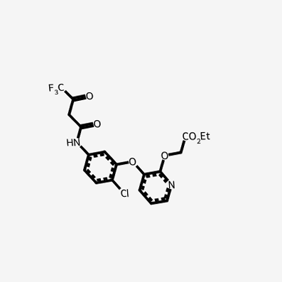 CCOC(=O)COc1ncccc1Oc1cc(NC(=O)CC(=O)C(F)(F)F)ccc1Cl